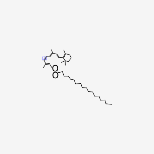 CCCCCCCCCCCCCCCCCC(=O)OCC=C(C)/C=C\C=C(C)C=CC1=C(C)CCCC1(C)C